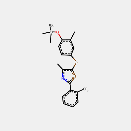 Cc1cc(Sc2sc(-c3ccccc3C(F)(F)F)nc2C)ccc1O[Si](C)(C)C(C)(C)C